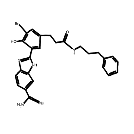 N=C(N)c1ccc2nc(-c3cc(CCC(=O)NCCCc4ccccc4)cc(Br)c3O)[nH]c2c1